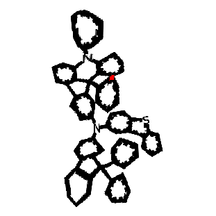 C1=CC2=C(CC1)C(c1ccccc1)(c1ccccc1)c1cc(N(c3ccc4c(c3)C3(c5ccccc5)c5ccccc5N(c5ccccc5)c5cccc-4c53)c3ccc4sc5ccccc5c4c3)ccc12